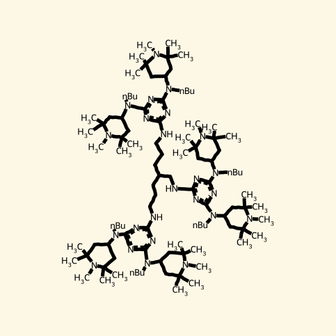 CCCCN(c1nc(NCCCC(CCCNc2nc(N(CCCC)C3CC(C)(C)N(C)C(C)(C)C3)nc(N(CCCC)C3CC(C)(C)N(C)C(C)(C)C3)n2)CNc2nc(N(CCCC)C3CC(C)(C)N(C)C(C)(C)C3)nc(N(CCCC)C3CC(C)(C)N(C)C(C)(C)C3)n2)nc(N(CCCC)C2CC(C)(C)N(C)C(C)(C)C2)n1)C1CC(C)(C)N(C)C(C)(C)C1